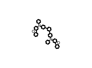 c1ccc(N(c2ccc(-c3cccc(-c4ccc(N(c5ccccc5)c5ccc6oc7ccccc7c6c5)cc4)c3)cc2)c2ccc3oc4ccccc4c3c2)cc1